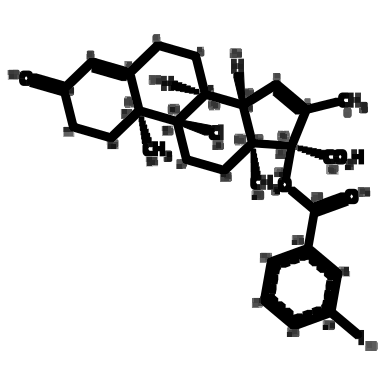 CC1=C[C@H]2[C@@H]3CCC4=CC(=O)CC[C@]4(C)[C@@]3(Cl)CC[C@]2(C)[C@@]1(OC(=O)c1cccc(I)c1)C(=O)O